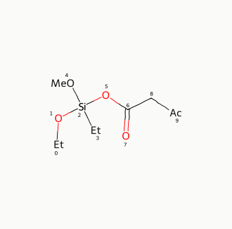 CCO[Si](CC)(OC)OC(=O)CC(C)=O